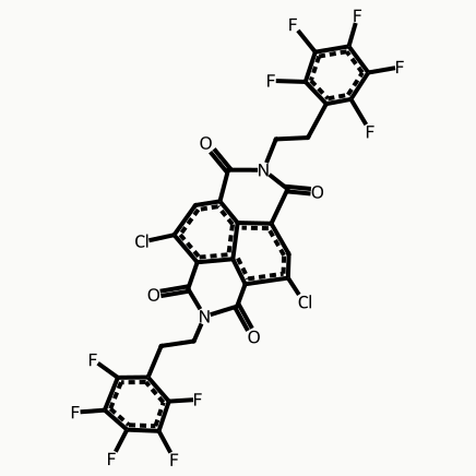 O=C1c2cc(Cl)c3c4c(c(Cl)cc(c24)C(=O)N1CCc1c(F)c(F)c(F)c(F)c1F)C(=O)N(CCc1c(F)c(F)c(F)c(F)c1F)C3=O